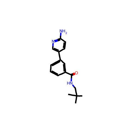 CC(C)(C)CNC(=O)c1cccc(-c2ccc(N)nc2)c1